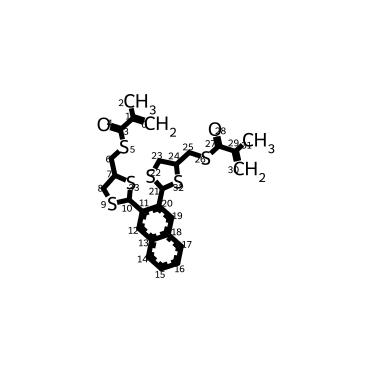 C=C(C)C(=O)SCC1CSC(c2cc3ccccc3cc2C2SCC(CSC(=O)C(=C)C)S2)S1